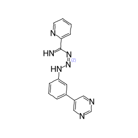 N=C(/N=N\Nc1cccc(-c2cncnc2)c1)c1ccccn1